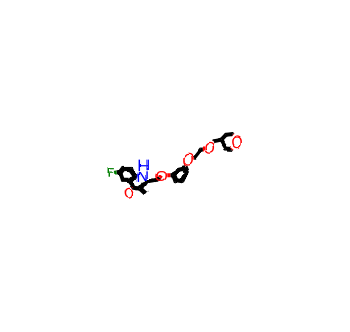 Cc1c(COc2cccc(OCCOCC3CCOCC3)c2)[nH]c2ccc(F)cc2c1=O